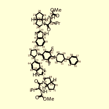 COC(=O)NC(C(=O)N1[C@H](c2nc3cc([C@H]4CC[C@H](c5ccc6[nH]c([C@@H]7C[C@@H]8CCC[C@@H]8N7C(=O)[C@@H](NC(=O)OC)C(C)C)nc6c5)N4c4cc(F)c(N5CCC(c6ccccc6)CC5)c(F)c4)ccc3[nH]2)C[C@@H]2CCC[C@@H]21)C(C)C